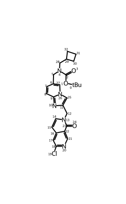 CC(C)(C)OC(=O)N(Cc1ccc2nc(Cn3ccc4cc(Cl)ncc4c3=O)cn2c1)CC1CCC1